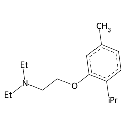 CCN(CC)CCOc1cc(C)ccc1C(C)C